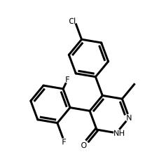 Cc1n[nH]c(=O)c(-c2c(F)cccc2F)c1-c1ccc(Cl)cc1